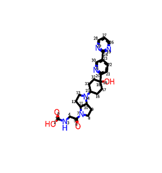 O=C(O)NCC(=O)N1CCC2C1CCN2C1CCC(O)(c2ccc(-c3ncccn3)cn2)CC1